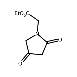 CCOC(=O)CN1CC(=O)CC1=O